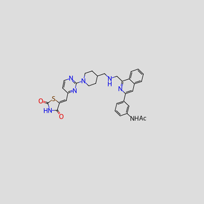 CC(=O)Nc1cccc(-c2cc3ccccc3c(CNCC3CCN(c4nccc(/C=C5\SC(=O)NC5=O)n4)CC3)n2)c1